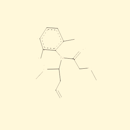 COCC(=O)N(c1c(C)cccc1C)C(CC=O)OC